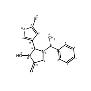 CC(c1ccccc1)N1CC(=O)N(O)C1c1csc(Br)c1